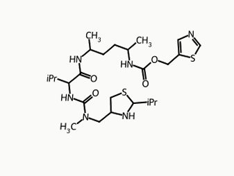 CC(CCC(C)NC(=O)C(NC(=O)N(C)CC1CSC(C(C)C)N1)C(C)C)NC(=O)OCc1cncs1